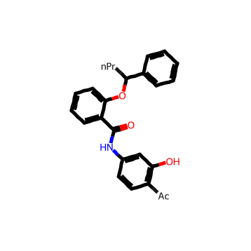 CCCC(Oc1ccccc1C(=O)Nc1ccc(C(C)=O)c(O)c1)c1ccccc1